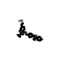 CN(C)c1nc(NCc2ccc(NC(=O)c3ccc(F)cc3)cc2)c2ccc(CCO)cc2n1